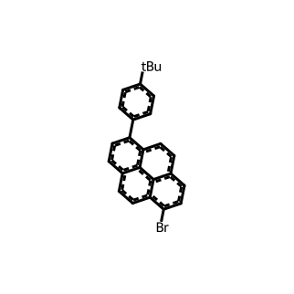 CC(C)(C)c1ccc(-c2ccc3ccc4c(Br)ccc5ccc2c3c54)cc1